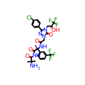 CC(C)(N)C(=O)NC(=O)[C@](C)(NC(=O)Cn1nc(-c2ccc(Cl)cc2)n(C[C@H](O)C(F)(F)F)c1=O)c1cccc(C(F)(F)F)c1